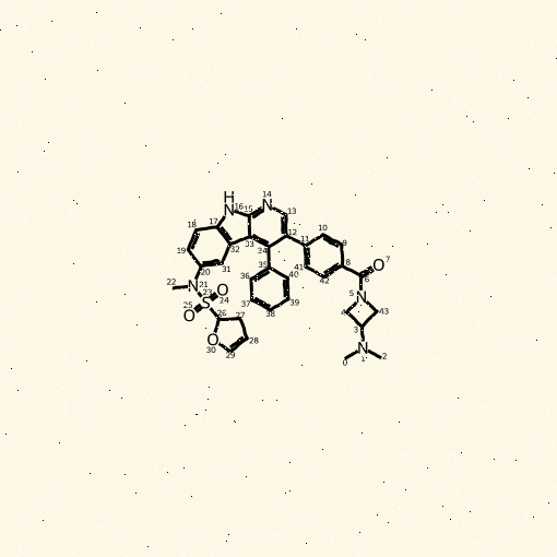 CN(C)C1CN(C(=O)c2ccc(-c3cnc4[nH]c5ccc(N(C)S(=O)(=O)C6CC=CO6)cc5c4c3-c3ccccc3)cc2)C1